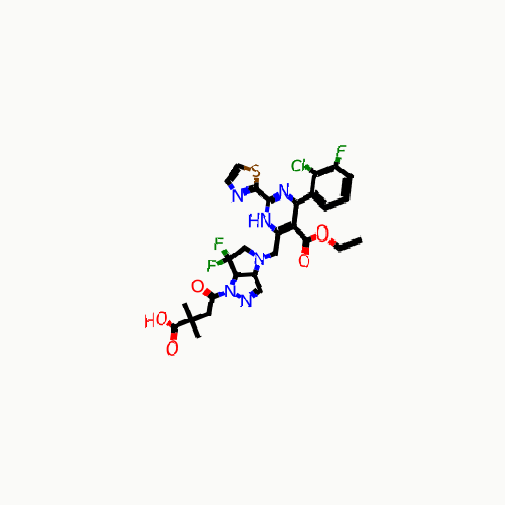 CCOC(=O)C1=C(CN2CC(F)(F)C3C2C=NN3C(=O)CC(C)(C)C(=O)O)NC(c2nccs2)=NC1c1cccc(F)c1Cl